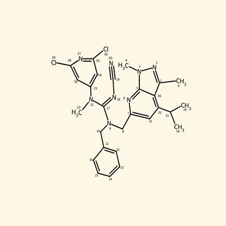 Cc1nn(C)c2nc(CN(Cc3ccccc3)/C(=N/C#N)N(C)c3cc(Cl)nc(Cl)c3)cc(C(C)C)c12